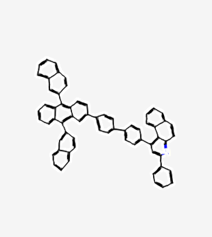 c1ccc(-c2cc(-c3ccc(-c4ccc(-c5ccc6c(-c7ccc8ccccc8c7)c7ccccc7c(-c7ccc8ccccc8c7)c6c5)cc4)cc3)c3c(ccc4ccccc43)n2)cc1